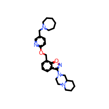 c1cc(COc2ccc(CN3CCCCCC3)cn2)c2onc(N3CCN4CCCCC4C3)c2c1